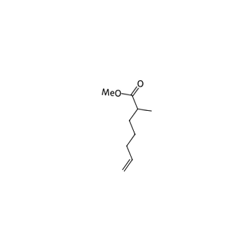 C=CCCCC(C)C(=O)OC